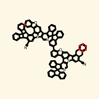 N#Cc1cc2c(c3c1C1c4ccccc4C3c3ccccc31)c1cc3oc4c(-c5ccc6c(c5)-c5ccccc5C65c6ccccc6-c6c5ncc5c6c6cc7oc8ccccc8c7c7c8c9c(c(C#N)cc8n5c67)C5c6ccccc6C56c5ccccc5C96)cccc4c3c3c4c5c(ncc4n2c13)C1(c2ccccc2-c2ccccc21)c1ccccc1-5